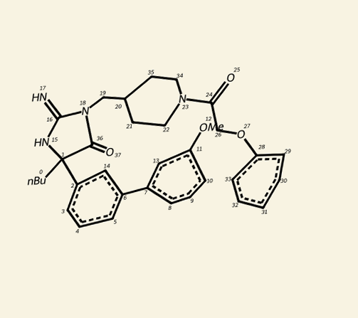 CCCCC1(c2cccc(-c3cccc(OC)c3)c2)NC(=N)N(CC2CCN(C(=O)COc3ccccc3)CC2)C1=O